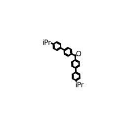 CC(C)c1ccc(-c2ccc(C(=O)c3ccc(-c4ccc(C(C)C)cc4)cc3)cc2)cc1